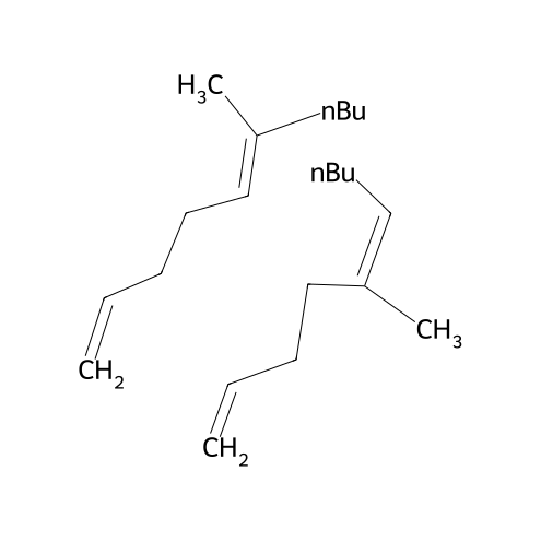 C=CCCC(C)=CCCCC.C=CCCC=C(C)CCCC